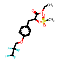 CCOC(=O)C(Cc1ccc(OCC(F)(F)C(F)F)cc1)OS(C)(=O)=O